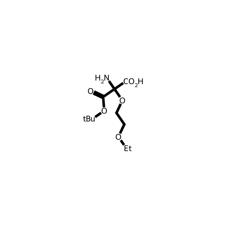 CCOCCOC(N)(C(=O)O)C(=O)OC(C)(C)C